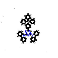 c1ccc([Si](c2ccccc2)(c2ccccc2)c2ccc(-c3nc(-n4c5ccccc5c5ccccc54)nc(-n4c5ccccc5c5ccccc54)n3)cc2)cc1